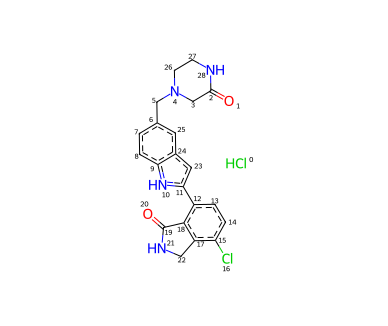 Cl.O=C1CN(Cc2ccc3[nH]c(-c4ccc(Cl)c5c4C(=O)NC5)cc3c2)CCN1